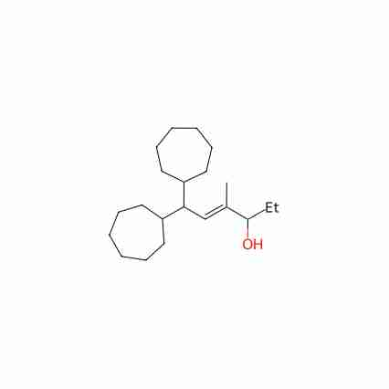 CCC(O)C(C)=CC(C1CCCCCC1)C1CCCCCC1